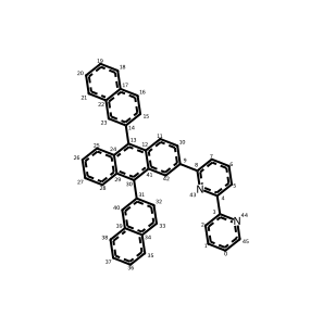 c1ccc(-c2cccc(-c3ccc4c(-c5ccc6ccccc6c5)c5ccccc5c(-c5ccc6ccccc6c5)c4c3)n2)nc1